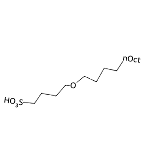 CCCCCCCCCCCCOCCCCS(=O)(=O)O